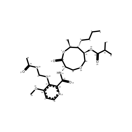 CCCC[C@H]1[C@H](C)OC(=O)[C@@H](NC(=O)c2nccc(OC)c2OCOC(C)=O)COC[C@@H]1OC(=O)C(C)C